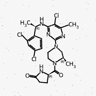 Cc1nc(N2CCN(C(=O)[C@H]3CCC(=O)N3)[C@H](C)C2)nc(N[C@H](C)c2ccc(Cl)cc2Cl)c1Cl